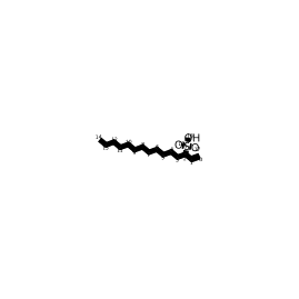 C=CC(CCCCCCCCCCCC)S(=O)(=O)O